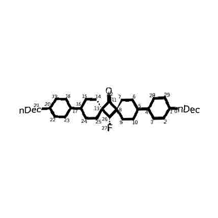 CCCCCCCCCCC1CCC(C2CC[C@]3(CC2)C(=O)[C@@]2(CCC(C4CCC(CCCCCCCCCC)CC4)CC2)[C@H]3F)CC1